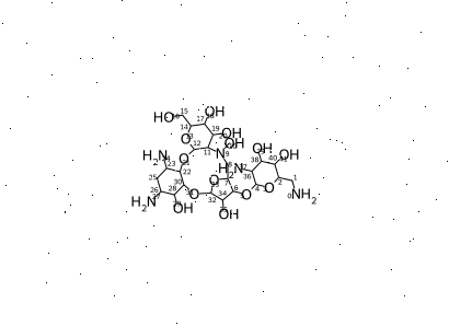 NCC1OC(OC2C3CN(O)C4C(OC(CO)C(O)C4O)OC4C(N)CC(N)C(O)C4OC(O3)C2O)C(N)C(O)C1O